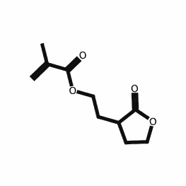 C=C(C)C(=O)OCCC1CCOC1=O